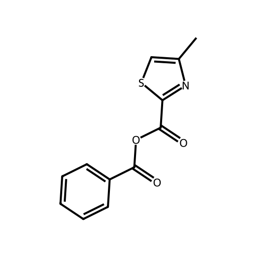 Cc1csc(C(=O)OC(=O)c2ccccc2)n1